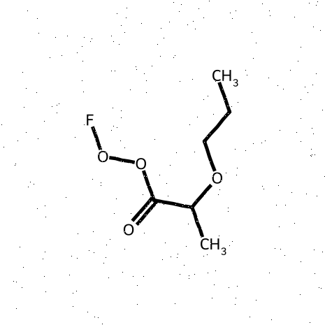 CCCOC(C)C(=O)OOF